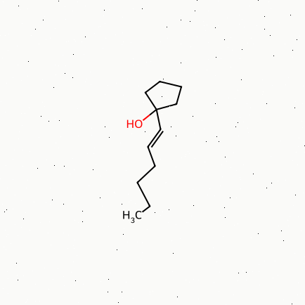 CCCCC=CC1(O)CCCC1